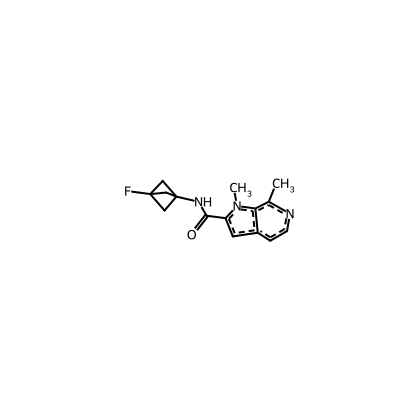 Cc1nccc2cc(C(=O)NC34CC(F)(C3)C4)n(C)c12